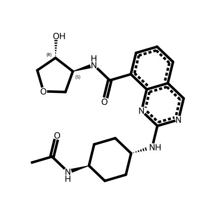 CC(=O)N[C@H]1CC[C@H](Nc2ncc3cccc(C(=O)N[C@H]4COC[C@@H]4O)c3n2)CC1